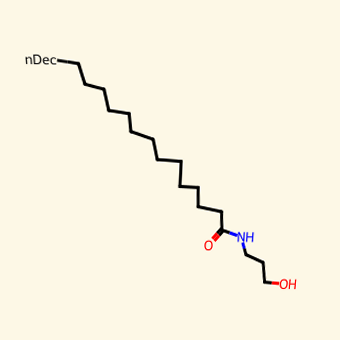 CCCCCCCCCCCCCCCCCCCCCCCC(=O)NCCCO